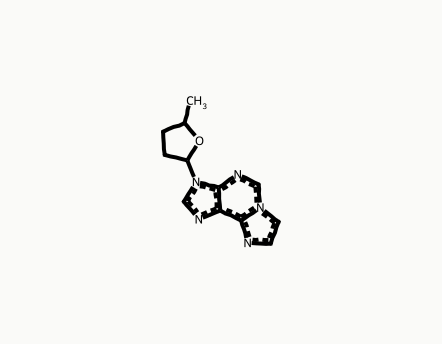 CC1CCC(n2cnc3c2ncn2ccnc32)O1